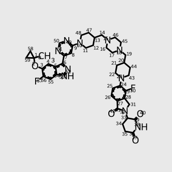 CC1(Oc2cc3c(-c4cc(N5CCC(CN6CCN(CC7CCN(c8ccc9c(c8F)CN(C8CCC(=O)NC8=O)C9=O)CC7)CC6)CC5)ncn4)n[nH]c3cc2F)CC1